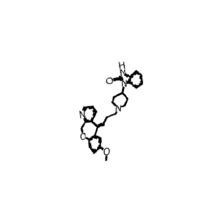 COc1ccc2c(c1)/C(=C/CCN1CCC(n3c(=O)[nH]c4ccccc43)CC1)c1cccnc1CO2